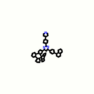 c1ccc2c(c1)-c1ccccc1C1(c3cc(-c4cc(-c5ccc(-c6cccc7ccccc67)cc5)nc(-c5ccc(-c6ccncc6)cc5)n4)ccc3-2)c2ccccc2-c2ccccc21